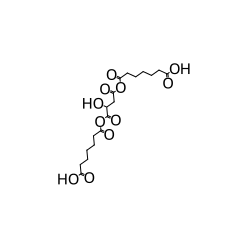 O=C(O)CCCCCC(=O)OC(=O)CC(O)C(=O)OC(=O)CCCCCC(=O)O